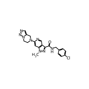 Cn1nc(C(=O)NCc2ccc(Cl)cc2)c2cnc(N3CCn4nncc4C3)cc21